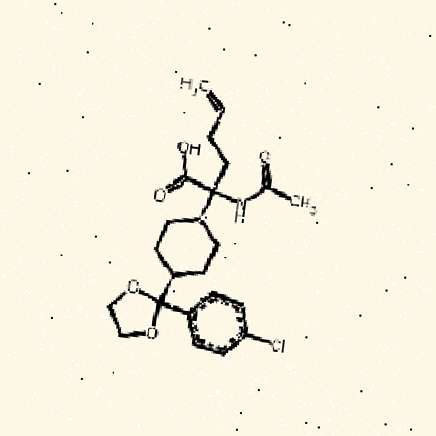 C=CCCC(NC(C)=O)(C(=O)O)[C@H]1CC[C@@H](C2(c3ccc(Cl)cc3)OCCO2)CC1